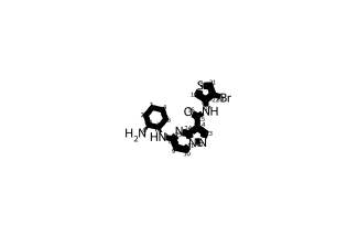 N[C@H]1CCCC[C@H]1Nc1ccn2ncc(C(=O)Nc3cscc3Br)c2n1